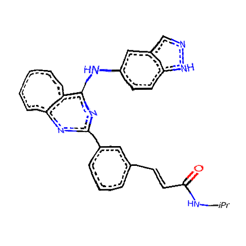 CC(C)NC(=O)/C=C/c1cccc(-c2nc(Nc3ccc4[nH]ncc4c3)c3ccccc3n2)c1